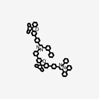 c1ccc(-c2cccc(-c3cc(-c4ccc(-c5ccc6c(c5)Oc5ccccc5C65c6ccccc6-c6ccccc65)cc4)nc(-c4cccc(-c5ccc6c(c5)Oc5cc(-c7ccc(-c8cc(-c9ccccc9-c9ccccc9)nc(-c9ccccc9)n8)cc7)ccc5C65c6ccccc6-c6ccccc65)c4)n3)c2)cc1